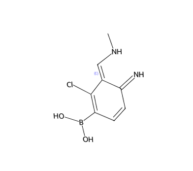 CN/C=C1\C(=N)C=CC(B(O)O)=C1Cl